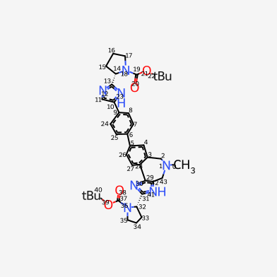 CN1Cc2cc(-c3ccc(-c4cnc([C@@H]5CCCN5C(=O)OC(C)(C)C)[nH]4)cc3)ccc2-c2nc([C@@H]3CCCN3C(=O)OC(C)(C)C)[nH]c2C1